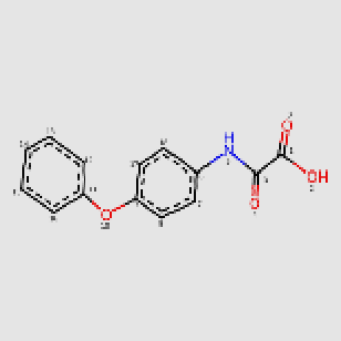 O=C(O)C(=O)Nc1ccc(Oc2ccccc2)cc1